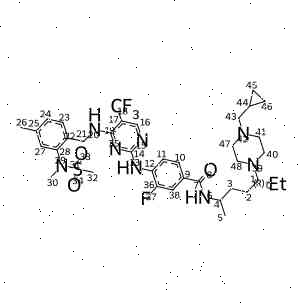 CC[C@H](CCC(C)NC(=O)c1ccc(Nc2ncc(C(F)(F)F)c(NCc3ccc(C)cc3N(C)S(C)(=O)=O)n2)c(F)c1)N1CCN(CC2CC2)CC1